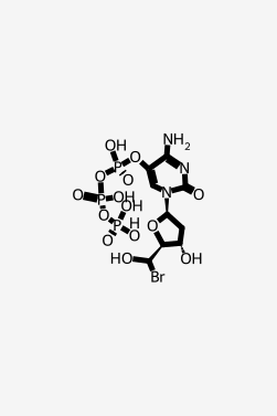 Nc1nc(=O)n([C@H]2C[C@H](O)[C@@H](C(O)Br)O2)cc1OP(=O)(O)OP(=O)(O)OP(=O)(O)O